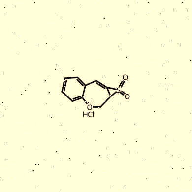 Cl.O=S1(=O)C2=Cc3ccccc3OCC21